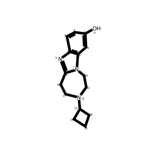 Oc1ccc2nc3n(c2c1)CCN(C1CCC1)CC3